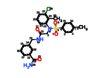 Cc1ccc(S(=O)(=O)N(CC(=O)NCc2cccc(C(N)=O)c2)c2cccc(Cl)c2C)cc1